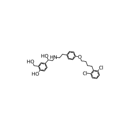 OCc1cc([C@@H](O)CNCCc2ccc(OCCCCc3c(Cl)cccc3Cl)cc2)ccc1O